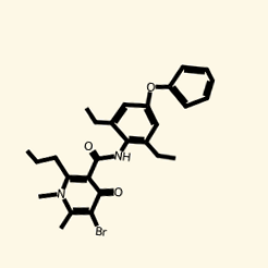 CCCc1c(C(=O)Nc2c(CC)cc(Oc3ccccc3)cc2CC)c(=O)c(Br)c(C)n1C